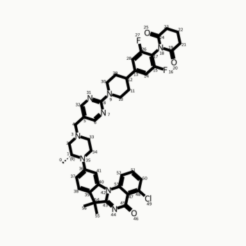 C[C@@H]1CN(Cc2cnc(N3CCC(c4cc(F)c(N5C(=O)CCCC5=O)c(F)c4)CC3)nc2)CCN1c1ccc2c(c1)-n1c(nc(=O)c3c(Cl)cccc31)C2(C)C